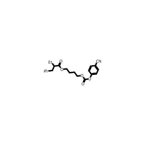 CCC(CC(C)C)C(=O)OCCCCOC(=O)Oc1ccc(C#N)cc1